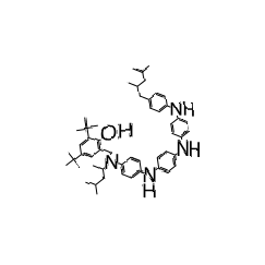 C=C(C)CC(C)Cc1ccc(Nc2ccc(Nc3ccc(Nc4ccc(N(Cc5cc(C(C)(C)C)cc(C(C)(C)C)c5O)C(C)CC(C)C)cc4)cc3)cc2)cc1